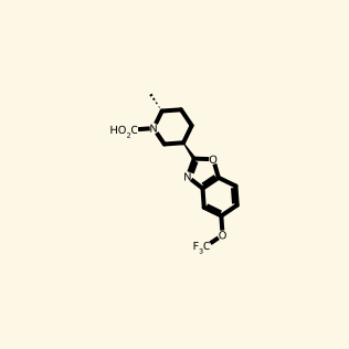 C[C@@H]1CC[C@@H](c2nc3cc(OC(F)(F)F)ccc3o2)CN1C(=O)O